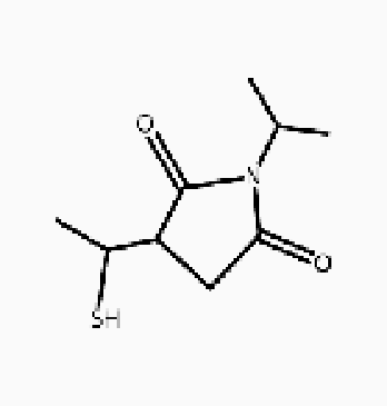 CC(S)C1CC(=O)N(C(C)C)C1=O